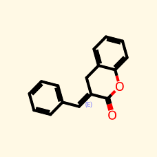 O=C1Oc2ccccc2C/C1=C\c1ccccc1